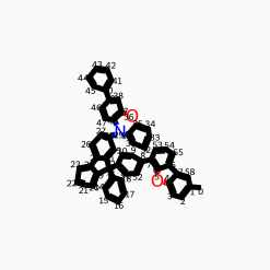 Cc1ccc2oc3c(-c4ccc(C5(c6ccccc6)c6ccccc6-c6ccc(N7c8ccccc8Oc8cc(-c9ccccc9)ccc87)cc65)cc4)cccc3c2c1